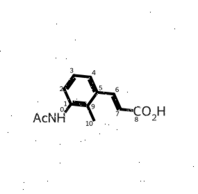 CC(=O)Nc1cccc(C=CC(=O)O)c1C